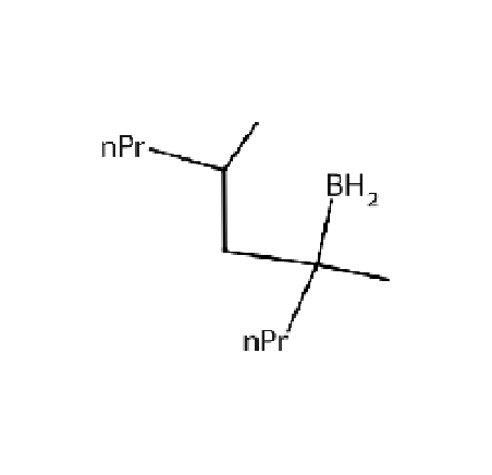 BC(C)(CCC)CC(C)CCC